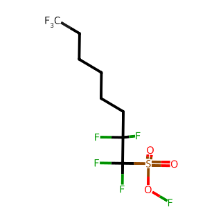 O=S(=O)(OF)C(F)(F)C(F)(F)CCCCCC(F)(F)F